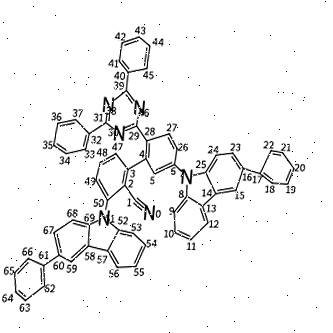 N#Cc1c(-c2cc(-n3c4ccccc4c4cc(-c5ccccc5)ccc43)ccc2-c2nc(-c3ccccc3)nc(-c3ccccc3)n2)cccc1-n1c2ccccc2c2cc(-c3ccccc3)ccc21